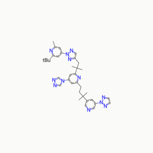 Cc1cc(-n2ncc(CC(C)(C)c3cc(-n4cnnc4)cc(CCC(C)(C)c4cncc(-n5nccn5)c4)n3)n2)cc(C(C)(C)C)n1